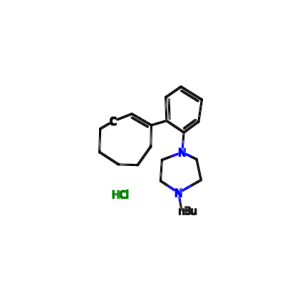 CCCCN1CCN(c2ccccc2/C2=C/CCCCCC2)CC1.Cl